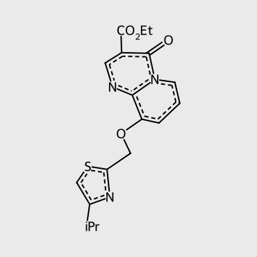 CCOC(=O)c1cnc2c(OCc3nc(C(C)C)cs3)cccn2c1=O